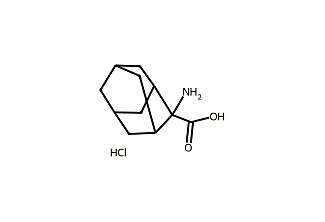 Cl.NC1(C(=O)O)C2CC3CC(C2)CC1C3